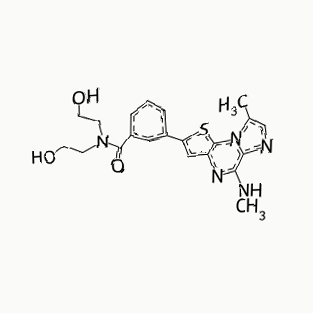 CNc1nc2cc(-c3cccc(C(=O)N(CCO)CCO)c3)sc2n2c(C)cnc12